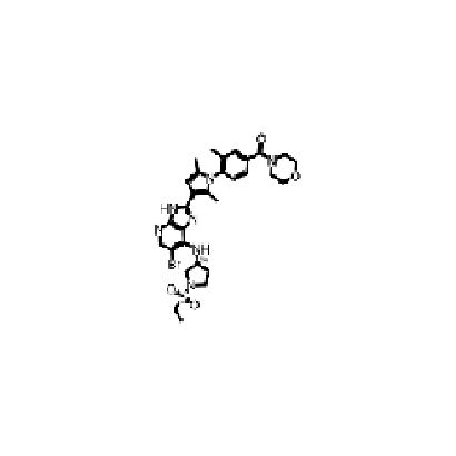 CCS(=O)(=O)N1CC[C@H](Nc2c(Br)cnc3[nH]c(-c4cc(C)n(-c5ccc(C(=O)N6CCOCC6)cc5C)c4C)nc23)C1